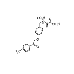 O=C(O)C(=O)N[C@H](Cc1ccc(OCC(=O)c2ccc(C(F)(F)F)cc2)cc1)C(=O)O